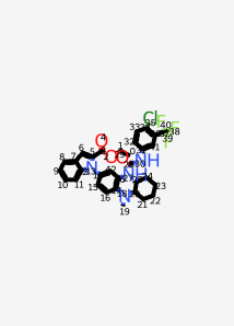 CCOC(=O)c1cc2ccccc2n1-c1ccc(N(C)C2CCCCC2)c(NC(=O)Nc2ccc(Cl)c(C(F)(F)F)c2)c1